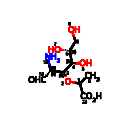 CC(O[C@@H]([C@H](O)[C@H](O)CO)[C@@H](N)C=O)C(=O)O